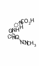 CN1CCN(CCCOc2cc(C(=O)NC[C@H]3CC[C@H](CNC(=O)O)CC3)c3ccccc3n2)CC1